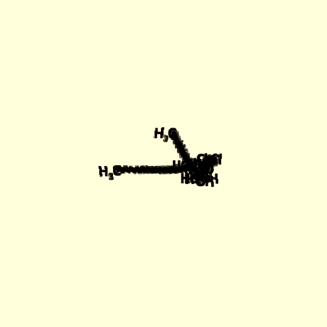 CCCCCCCCCCCCCCCCCCCCCCCCCCN[C@@H](CO[C@@H]1O[C@H](COC(=O)Nc2ccc(Cl)cc2Cl)[C@H](O)[C@H](O)[C@H]1O)[C@H](O)[C@H](O)CCCCCCCCCCCCCC